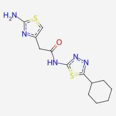 Nc1nc(CC(=O)Nc2nnc(C3CCCCC3)s2)cs1